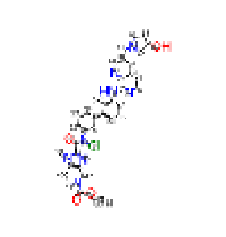 Cc1c(Nc2nccc3cc(CN4CCC(O)C4)cnc23)cccc1-c1cccc(N(Cl)C(=O)c2nc3c(n2C)CCN(C(=O)OC(C)(C)C)C3)c1